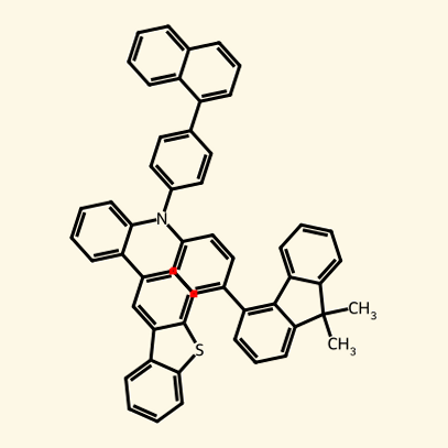 CC1(C)c2ccccc2-c2c(-c3ccc(N(c4ccc(-c5cccc6ccccc56)cc4)c4ccccc4-c4ccc5sc6ccccc6c5c4)cc3)cccc21